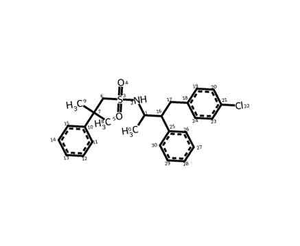 CC(NS(=O)(=O)CC(C)(C)c1ccccc1)C(Cc1ccc(Cl)cc1)c1ccccc1